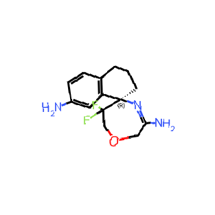 NC1=N[C@@]2(CCCc3ccc(N)cc32)C(F)(F)COC1